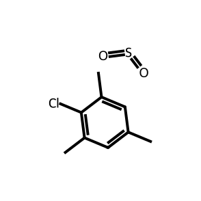 Cc1cc(C)c(Cl)c(C)c1.O=S=O